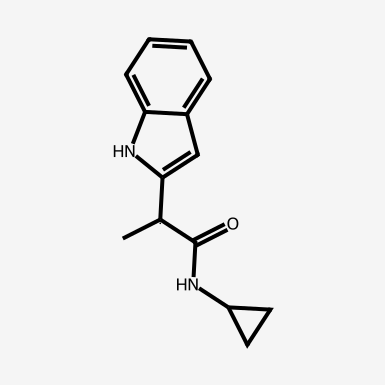 C[C](C(=O)NC1CC1)c1cc2ccccc2[nH]1